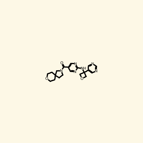 O=C(c1cnc(NC2(c3cncnc3)COC2)nc1)N1CCC2(CCOCC2)C1